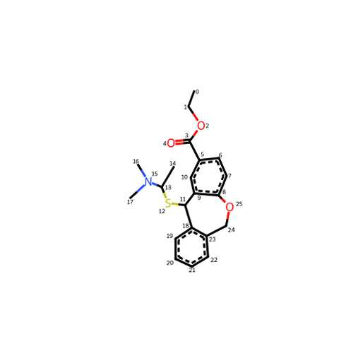 CCOC(=O)c1ccc2c(c1)C(SC(C)N(C)C)c1ccccc1CO2